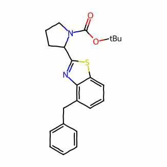 CC(C)(C)OC(=O)N1CCCC1c1nc2c(Cc3ccccc3)cccc2s1